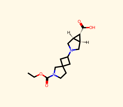 CCOC(=O)N1CCC2(CC(N3C[C@@H]4[C@H](C3)[C@H]4C(=O)O)C2)C1